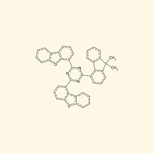 CC1(C)c2ccccc2-c2c(-c3nc(-c4cccc5c4oc4ccccc45)nc(-c4cccc5sc6ccccc6c45)n3)cccc21